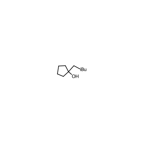 CCC(C)CC1(O)CCCC1